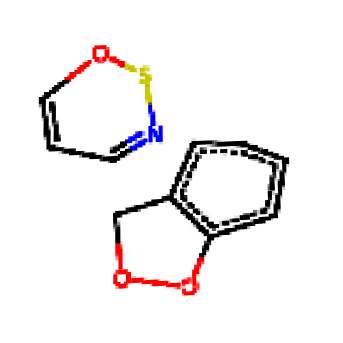 C1=COSN=C1.c1ccc2c(c1)COO2